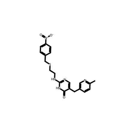 Cc1ccc(Cc2cnc(NCCSCc3ccc([N+](=O)[O-])cc3)[nH]c2=O)cn1